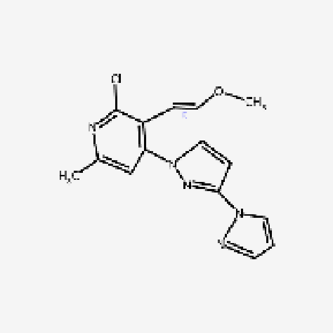 CO/C=C/c1c(-n2ccc(-n3cccn3)n2)cc(C)nc1Cl